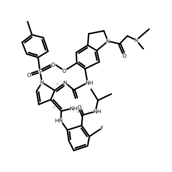 C=C(/N=C1\C(=C(/N)Nc2cccc(F)c2C(=O)NC(C)C)C=CN1S(=O)(=O)c1ccc(C)cc1)Nc1cc2c(cc1OC)CCN2C(=O)CN(C)C